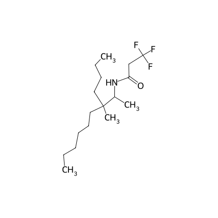 CCCCCCC(C)(CCCC)C(C)NC(=O)CC(F)(F)F